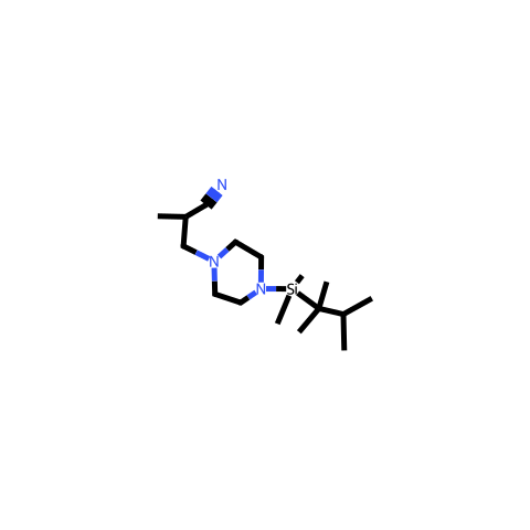 CC(C#N)CN1CCN([Si](C)(C)C(C)(C)C(C)C)CC1